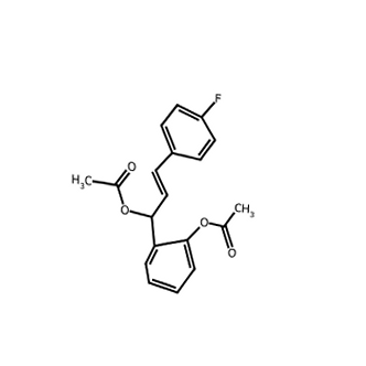 CC(=O)Oc1ccccc1C(C=Cc1ccc(F)cc1)OC(C)=O